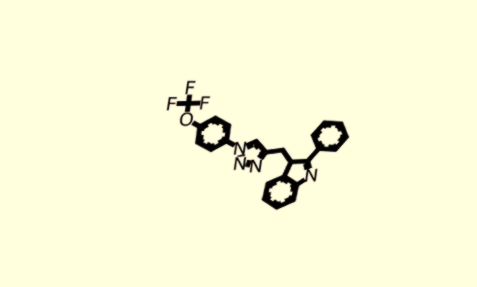 FC(F)(F)Oc1ccc(-n2cc(CC3C(c4ccccc4)=Nc4ccccc43)nn2)cc1